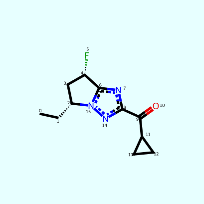 CC[C@@H]1C[C@H](F)c2nc(C(=O)C3CC3)nn21